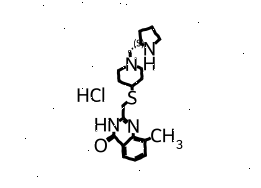 Cc1cccc2c(=O)[nH]c(CSC3CCN(C[C@@H]4CCCN4)CC3)nc12.Cl